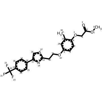 COC(=O)COc1ccc(OCCc2nc(-c3ccc(C(F)(F)F)cc3)cs2)cc1C